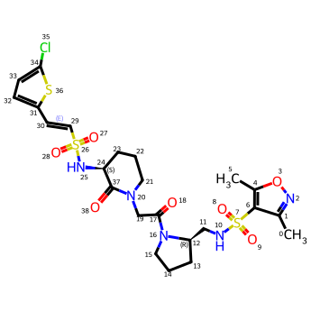 Cc1noc(C)c1S(=O)(=O)NC[C@H]1CCCN1C(=O)CN1CCC[C@H](NS(=O)(=O)/C=C/c2ccc(Cl)s2)C1=O